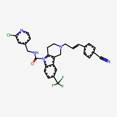 N#Cc1ccc(C=CCN2CCc3c(c4cc(C(F)(F)F)ccc4n3C(=O)NCc3ccnc(Cl)c3)C2)cc1